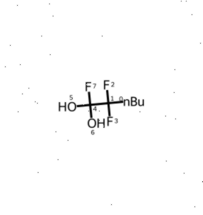 CCCCC(F)(F)C(O)(O)F